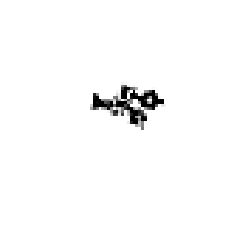 Cc1ccc2c(c1)-n1cncc1C[N+]1(c3noc(C4CC4)n3)C=CN=C21